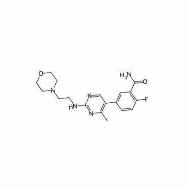 Cc1nc(NCCN2CCOCC2)ncc1-c1ccc(F)c(C(N)=O)c1